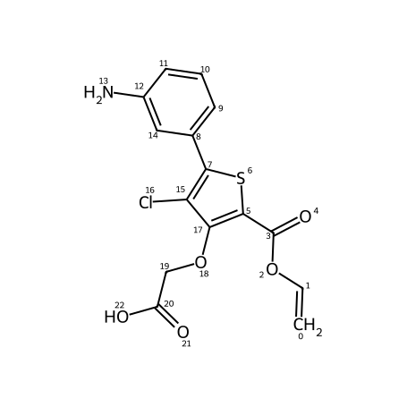 C=COC(=O)c1sc(-c2cccc(N)c2)c(Cl)c1OCC(=O)O